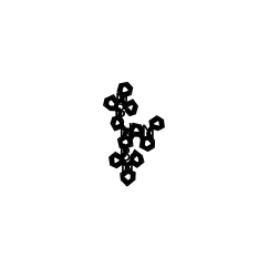 c1ccc(N2c3ccccc3B(c3cccc(-n4c5ccc(B6c7ccccc7N(c7ccccc7)c7ccccc76)cc5c5c6c7ccccc7n(-c7ccccc7)c6ccc54)c3)c3ccccc32)cc1